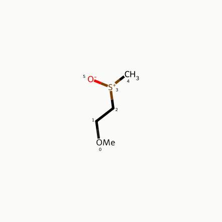 [CH2]OCC[S+](C)[O-]